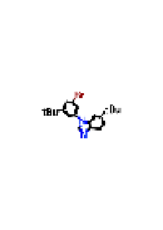 CC(C)(C)c1cc(Br)cc(-n2cnc3ccc(C(C)(C)C)cc32)c1